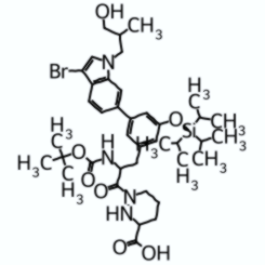 CC(CO)Cn1cc(Br)c2ccc(-c3cc(CC(NC(=O)OC(C)(C)C)C(=O)N4CCCC(C(=O)O)N4)cc(O[Si](C(C)C)(C(C)C)C(C)C)c3)cc21